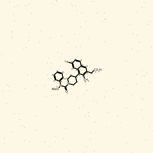 CON(C(=O)N1CCC(c2c(C)c(CC(=O)O)cc3ccc(F)cc23)CC1)c1ccccc1